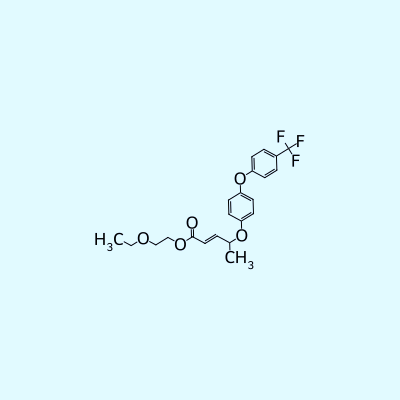 CCOCCOC(=O)C=CC(C)Oc1ccc(Oc2ccc(C(F)(F)F)cc2)cc1